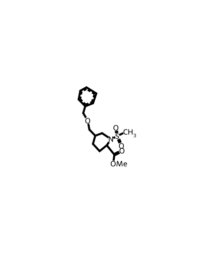 COC(=O)C1CCC(COCc2ccccc2)CN1S(C)(=O)=O